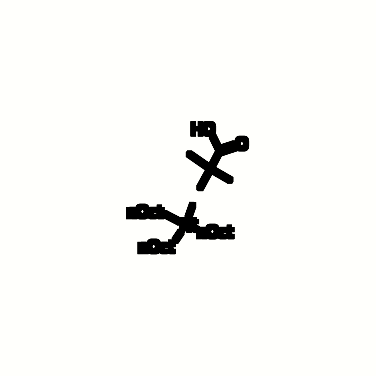 CC(C)(C)C(=O)O.CCCCCCCC[N+](C)(CCCCCCCC)CCCCCCCC